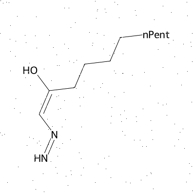 CCCCCCCCC/C(O)=C\N=N